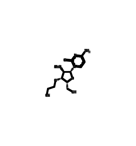 CO[C@@H]1[C@@H](OCCC#N)[C@@H](CO)O[C@H]1n1ccc(N)nc1=O